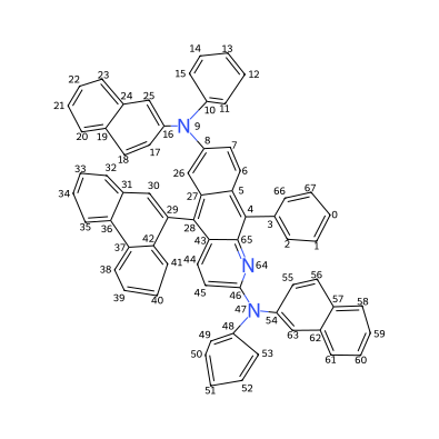 c1ccc(-c2c3ccc(N(c4ccccc4)c4ccc5ccccc5c4)cc3c(-c3cc4ccccc4c4ccccc34)c3ccc(N(c4ccccc4)c4ccc5ccccc5c4)nc23)cc1